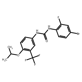 CC(C)Oc1ccc(NC(=O)Nc2ccc(Br)cc2F)cc1C(F)(F)F